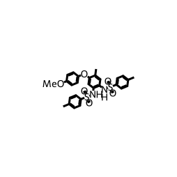 COc1ccc(Oc2cc(NS(=O)(=O)c3ccc(C)cc3)c(NS(=O)(=O)c3ccc(C)cc3)cc2C)cc1